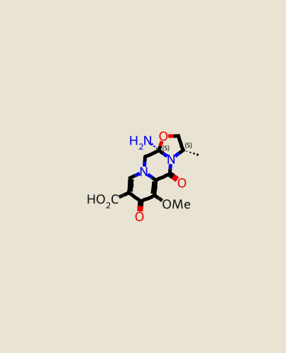 COc1c2n(cc(C(=O)O)c1=O)C[C@@]1(N)OC[C@H](C)N1C2=O